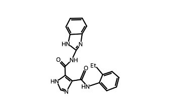 CCc1ccccc1NC(=O)c1nc[nH]c1C(=O)Nc1nc2ccccc2[nH]1